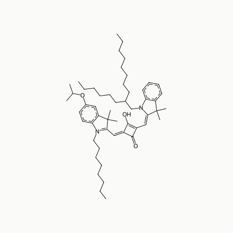 CCCCCCCCC(CCCCCC)CN1/C(=C\C2=C(O)C(=C\C3=[N+](CCCCCCCC)c4ccc(OC(C)C)cc4C3(C)C)/C2=O)C(C)(C)c2ccccc21